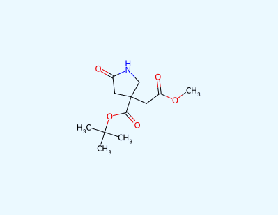 COC(=O)CC1(C(=O)OC(C)(C)C)CNC(=O)C1